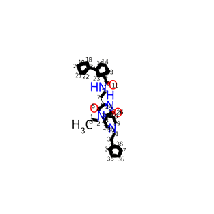 CCCN1C(=O)[C@H](CCNC(=O)c2cccc(-c3ccccc3)c2)NC(=O)C12CCN(CCc1ccccc1)CC2